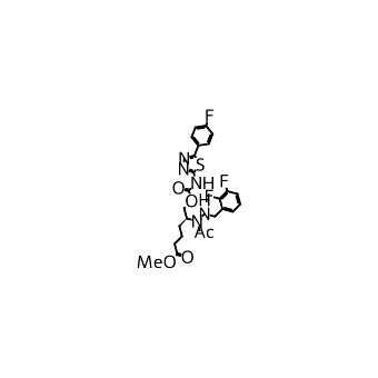 COC(=O)CCC[C@@H](COC(=O)Nc1nnc(-c2ccc(F)cc2)s1)N(NCc1cccc(F)c1F)C(C)=O